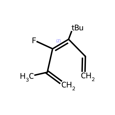 C=C/C(=C(/F)C(=C)C)C(C)(C)C